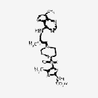 Cc1nc(NC(=O)O)sc1S(=O)(=O)N1CCN(C[C@H](C)Nc2ncnc3c(C)csc23)CC1